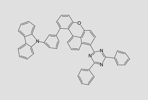 c1ccc(-c2nc(-c3ccccc3)nc(-c3ccc4c5c(cccc35)-c3c(cccc3-c3cccc(-n5c6ccccc6c6ccccc65)c3)O4)n2)cc1